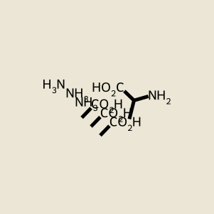 CC(=O)O.CC(=O)O.CC(=O)O.CC(N)C(=O)O.N.N.N